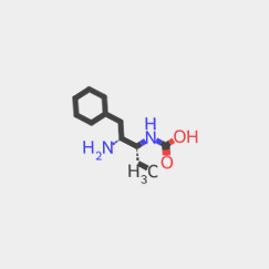 CC[C@@H](NC(=O)O)[C@H](N)CC1CCCCC1